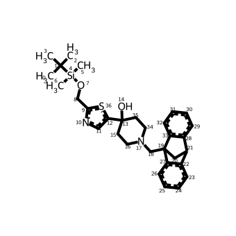 CC(C)(C)[Si](C)(C)OCc1ncc(C2(O)CCN(CC34CC(c5ccccc53)c3ccccc34)CC2)s1